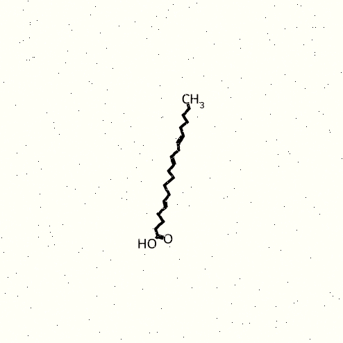 CCCCCC=CCC=CCCCCC=CCCCC(=O)O